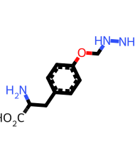 NNCOc1ccc(CC(N)C(=O)O)cc1